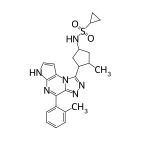 Cc1ccccc1-c1nc2[nH]ccc2n2c(C3CC(NS(=O)(=O)C4CC4)CC3C)nnc12